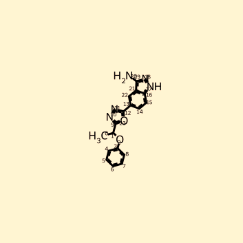 CC(Oc1ccccc1)c1nnc(-c2ccc3[nH]nc(N)c3c2)o1